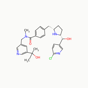 CN(Cc1cncc(C(C)(C)O)c1)C(=O)c1ccc(C[C@@H]2CC[C@H](C(O)c3ccc(Cl)nc3)N2)cc1